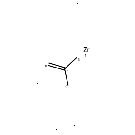 C=C(C)C.[Zr]